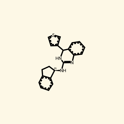 c1ccc2c(c1)CC[C@H]2NC1=Nc2ccccc2C(c2ccsc2)N1